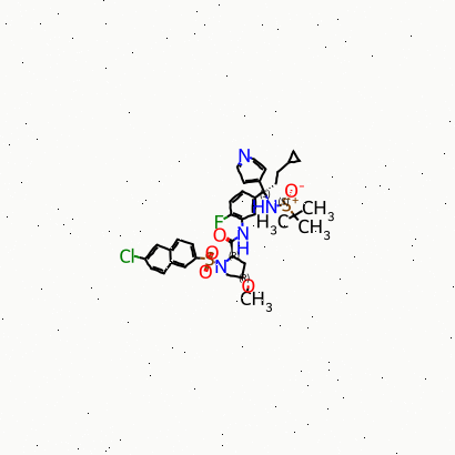 CO[C@@H]1C[C@H](C(=O)Nc2cc([C@](CCC3CC3)(N[S@+]([O-])C(C)(C)C)c3ccncc3)ccc2F)N(S(=O)(=O)c2ccc3cc(Cl)ccc3c2)C1